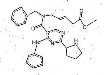 COC(=O)C/C=C/CN(Cc1ccccc1)C(=O)c1cnc(C2CCCN2)nc1Nc1ccccc1